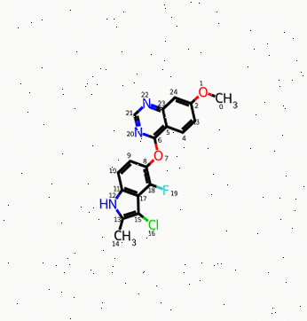 COc1[c]cc2c(Oc3ccc4[nH]c(C)c(Cl)c4c3F)ncnc2c1